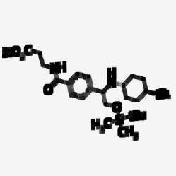 CCOC(=O)CCNC(=O)c1ccc(C(CO[Si](C)(C)C(C)(C)C)N[C@H]2CC[C@H](C(C)(C)C)CC2)cc1